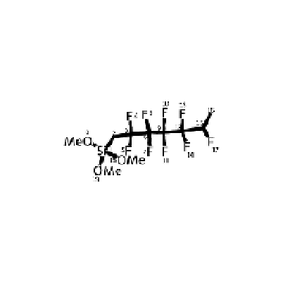 CO[Si](CC(F)(F)C(F)(F)C(F)(F)C(F)(F)C(C)F)(OC)OC